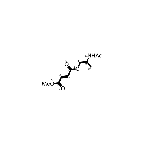 COC(=O)/C=C/C(=O)OC[C@H](C)NC(C)=O